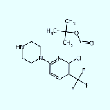 CC(C)(C)OC=O.FC(F)(F)c1ccc(N2CCNCC2)nc1Cl